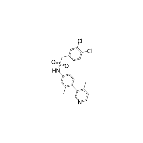 Cc1cc(NS(=O)(=O)Cc2ccc(Cl)c(Cl)c2)ccc1-c1cnccc1C